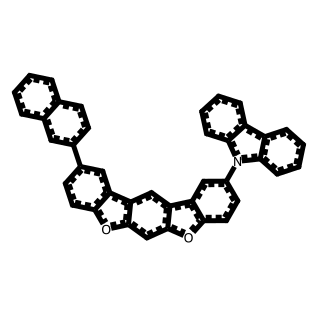 c1ccc2cc(-c3ccc4oc5cc6oc7ccc(-n8c9ccccc9c9ccccc98)cc7c6cc5c4c3)ccc2c1